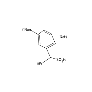 CCCCCCCCCc1cccc(C(CCC)S(=O)(=O)O)c1.[NaH]